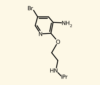 CC(C)NCCOc1ncc(Br)cc1N